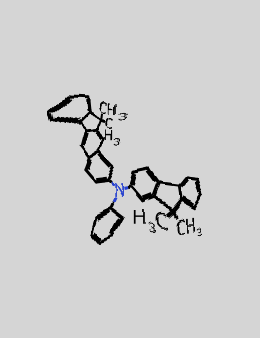 CC1(C)c2ccccc2-c2ccc(N(c3ccccc3)c3ccc4cc5c(cc4c3)C(C)(C)c3ccccc3-5)cc21